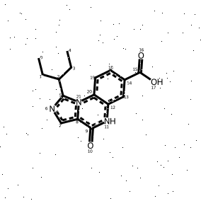 CCC(CC)c1ncc2c(=O)[nH]c3cc(C(=O)O)ccc3n12